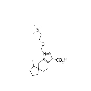 CC1CCCC12CCc1c(C(=O)O)nn(COCC[Si](C)(C)C)c1C2